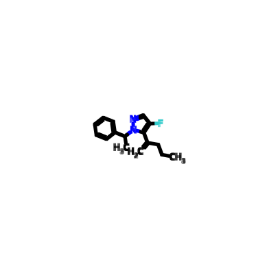 C=C(CCC)c1c(F)cnn1C(C)c1ccccc1